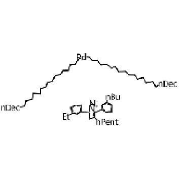 CCCCCC1=C(c2cccc(CCCC)c2)[N+](=[N-])C(c2cccc(CC)c2)=C1.CCCCCCCCCCCCCCCCCCCCCCCCC[CH2][Pd][CH2]CCCCCCCCCCCCCCCCCCCCCCCCC